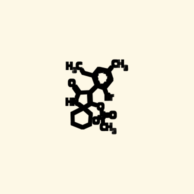 CCc1cc(C)cc(Br)c1C1=C(OS(C)(=O)=O)C2(CCCCC2)NC1=O